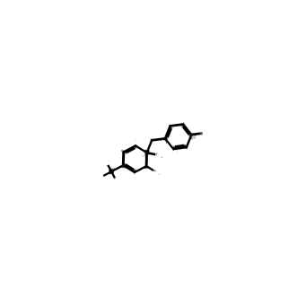 NC1C=C(C(F)(F)F)C=CC1(N)Cc1ccc(Br)cc1